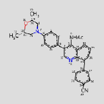 CC(=O)Nc1c(-c2ccc(N3C[C@@H](C)O[C@@H](C)C3)cc2)cnc2c(-c3ccc(C#N)cc3)cccc12